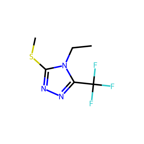 CCn1c(SC)nnc1C(F)(F)F